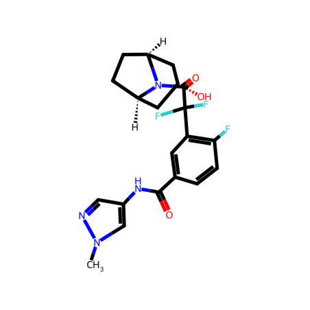 Cn1cc(NC(=O)c2ccc(F)c(C(F)(F)C(=O)N3[C@@H]4CC[C@H]3C[C@H](O)C4)c2)cn1